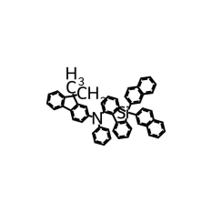 CC1(C)c2ccccc2-c2ccc(N(c3ccccc3)c3cccc4c3-c3ccccc3[Si]4(c3ccc4ccccc4c3)c3ccc4ccccc4c3)cc21